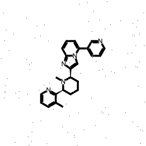 Cc1cccnc1[C@@H]1CCC[C@H](c2cn3c(-c4cccnc4)cccc3n2)N1C